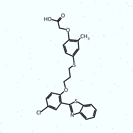 Cc1cc(SCCCOc2ccc(Cl)cc2-c2nc3ccccc3s2)ccc1OCC(=O)O